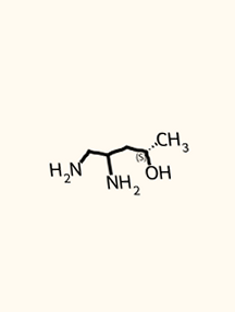 C[C@H](O)CC(N)CN